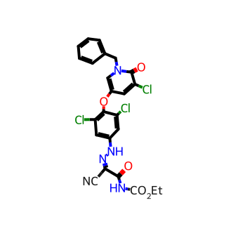 CCOC(=O)NC(=O)C(C#N)=NNc1cc(Cl)c(Oc2cc(Cl)c(=O)n(Cc3ccccc3)c2)c(Cl)c1